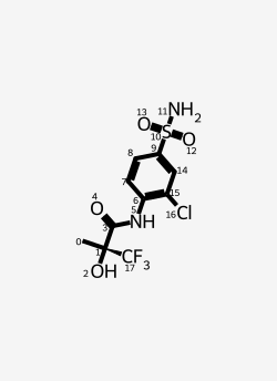 C[C@@](O)(C(=O)Nc1ccc(S(N)(=O)=O)cc1Cl)C(F)(F)F